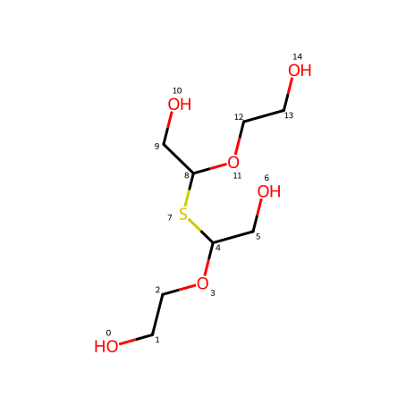 OCCOC(CO)SC(CO)OCCO